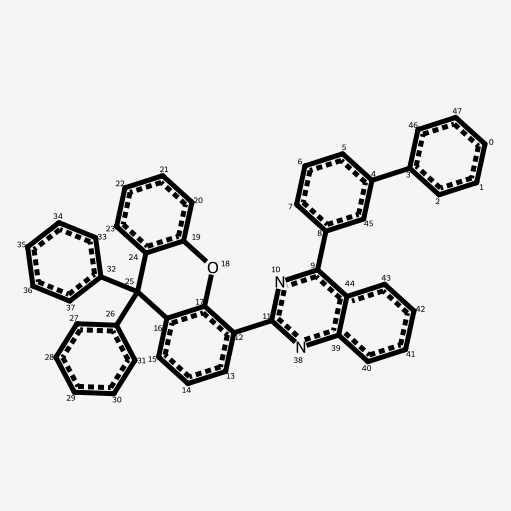 c1ccc(-c2cccc(-c3nc(-c4cccc5c4Oc4ccccc4C5(c4ccccc4)c4ccccc4)nc4ccccc34)c2)cc1